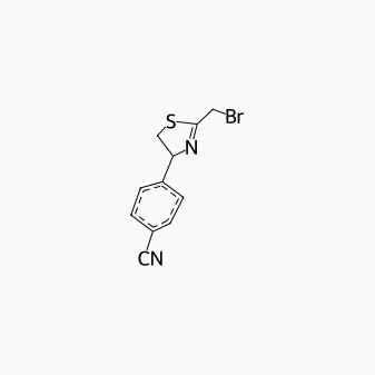 N#Cc1ccc(C2CSC(CBr)=N2)cc1